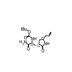 C=CC[C@@H]1C[C@@H](C[C@H](NC(=O)OC(C)(C)C)C(N)=O)C(=O)N1